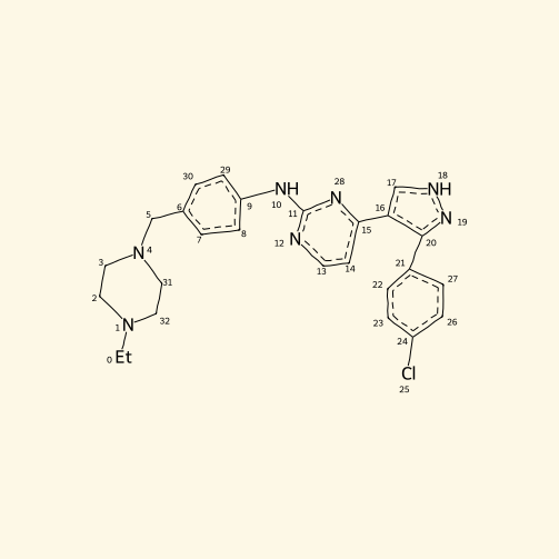 CCN1CCN(Cc2ccc(Nc3nccc(-c4c[nH]nc4-c4ccc(Cl)cc4)n3)cc2)CC1